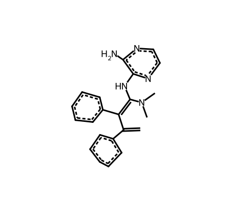 C=C(/C(=C(/Nc1nccnc1N)N(C)C)c1ccccc1)c1ccccc1